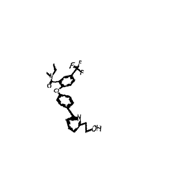 CCN(C)C(=O)c1cc(C(F)(F)F)ccc1Oc1ccc(-c2cccc(CCO)n2)cc1